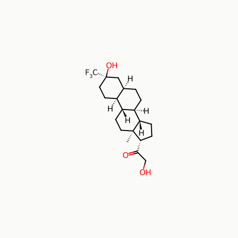 C[C@]12CC[C@H]3[C@@H](CC[C@@H]4C[C@@](O)(C(F)(F)F)CC[C@@H]43)[C@@H]1CC[C@@H]2C(=O)CO